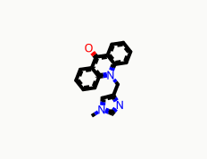 Cn1cnc(Cn2c3ccccc3c(=O)c3ccccc32)c1